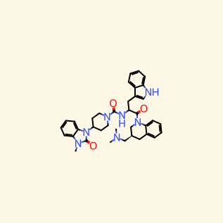 CN(C)C[C@@H]1Cc2ccccc2N(C(=O)C(Cc2c[nH]c3ccccc23)NC(=O)N2CCC(n3c(=O)n(C)c4ccccc43)CC2)C1